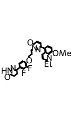 CCc1ccc2c(-c3ccc(=O)n(CCCOc4ccc(C5=NNC(=O)CC5)c(F)c4F)n3)ccc(OC)c2n1